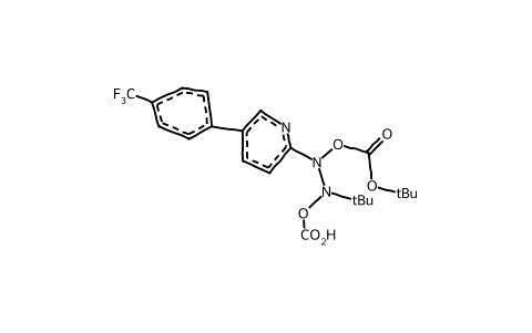 CC(C)(C)OC(=O)ON(c1ccc(-c2ccc(C(F)(F)F)cc2)cn1)N(OC(=O)O)C(C)(C)C